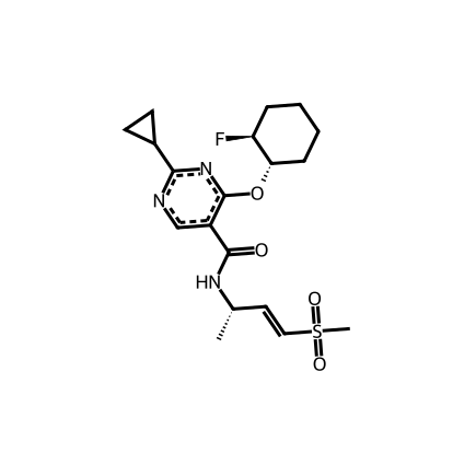 C[C@@H](/C=C/S(C)(=O)=O)NC(=O)c1cnc(C2CC2)nc1O[C@H]1CCCC[C@@H]1F